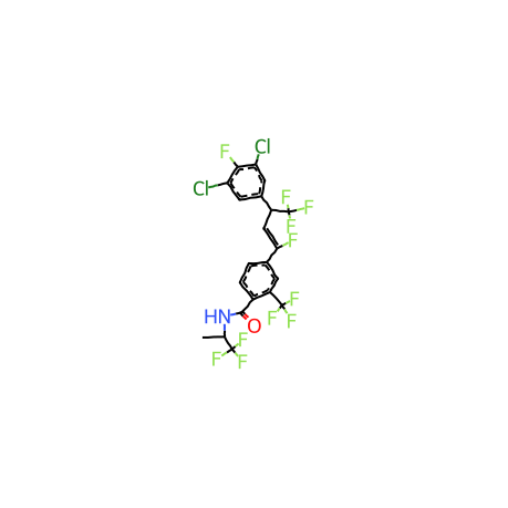 CC(NC(=O)c1ccc(/C(F)=C/C(c2cc(Cl)c(F)c(Cl)c2)C(F)(F)F)cc1C(F)(F)F)C(F)(F)F